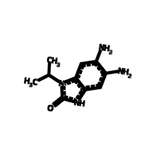 CC(C)n1c(=O)[nH]c2cc(N)c(N)cc21